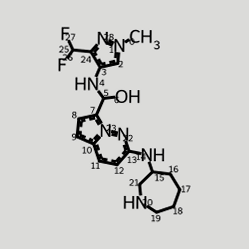 Cn1cc(NC(O)c2ccc3ccc(NC4CCCCNC4)nn23)c(C(F)F)n1